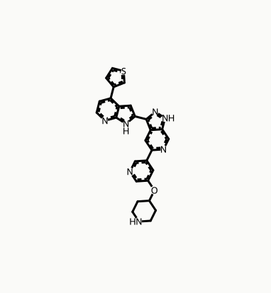 c1cc(-c2ccsc2)c2cc(-c3n[nH]c4cnc(-c5cncc(OC6CCNCC6)c5)cc34)[nH]c2n1